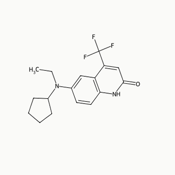 CCN(c1ccc2[nH]c(=O)cc(C(F)(F)F)c2c1)C1CCCC1